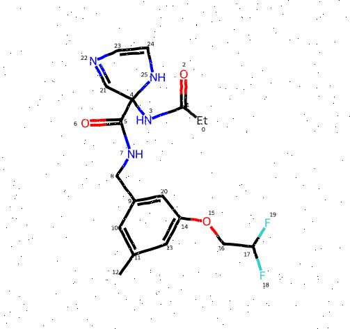 CCC(=O)NC1(C(=O)NCc2cc(C)cc(OCC(F)F)c2)C=NC=CN1